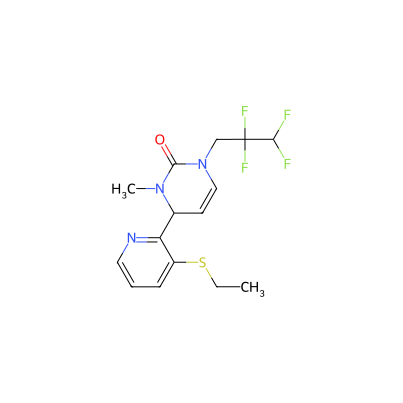 CCSc1cccnc1C1C=CN(CC(F)(F)C(F)F)C(=O)N1C